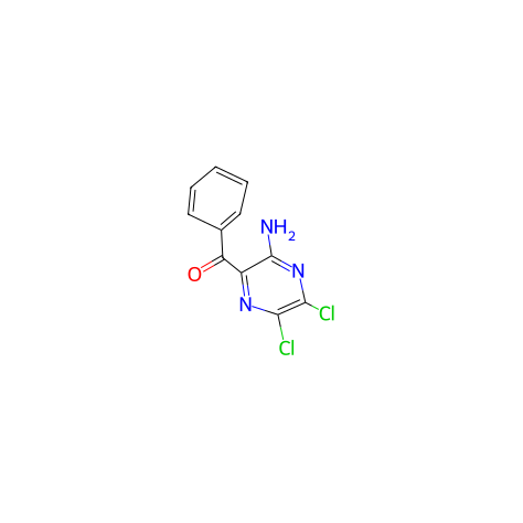 Nc1nc(Cl)c(Cl)nc1C(=O)c1ccccc1